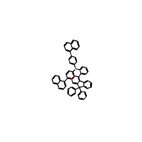 c1ccc(C2(c3ccccc3)c3ccccc3-c3c(-c4ccccc4N(c4ccc(-c5cccc6ccccc56)cc4)c4ccc(-c5cccc6ccccc56)cc4)cccc32)cc1